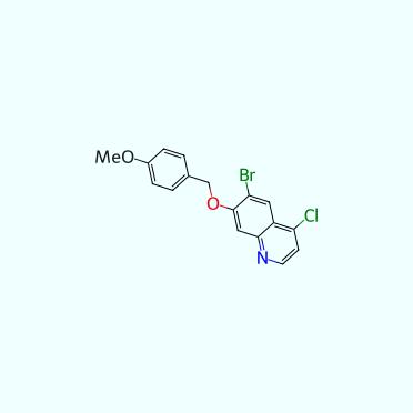 COc1ccc(COc2cc3nccc(Cl)c3cc2Br)cc1